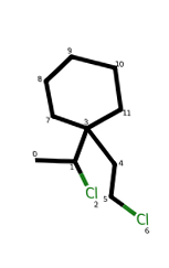 CC(Cl)C1(CCCl)CCCCC1